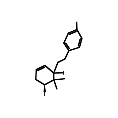 Cc1ccc(CCC2(I)C=CC[C@H](I)C2(C)C)cc1